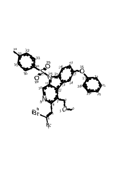 COCc1c(C=C(Br)Br)ncc2c1c1cc(Oc3ccccc3)ccc1n2S(=O)(=O)c1ccc(C)cc1